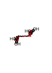 C[C@H](CCCCCCCCCCC[C@H](C)[C@H]1CCC2[C@@H]3[C@@H](O)CC4C[C@H](O)CC[C@]4(C)[C@H]3CC[C@@]21C)[C@H]1CCC2[C@@H]3[C@@H](O)CC4C[C@H](O)CC[C@]4(C)[C@H]3CC[C@@]21C